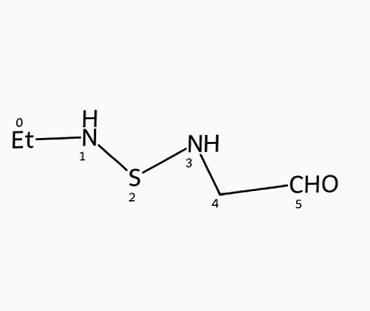 CCNSNCC=O